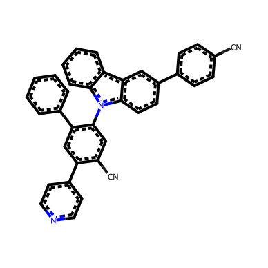 N#Cc1ccc(-c2ccc3c(c2)c2ccccc2n3-c2cc(C#N)c(-c3ccncc3)cc2-c2ccccc2)cc1